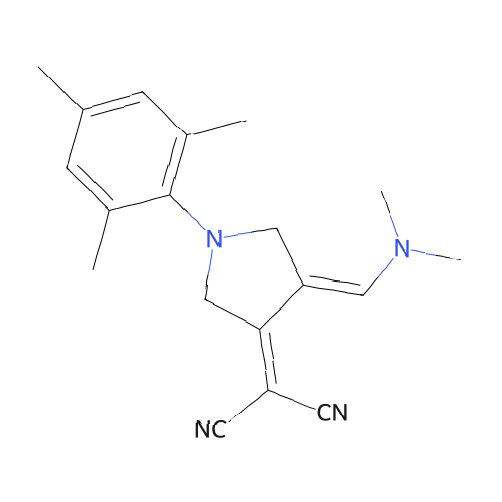 Cc1cc(C)c(N2CC(=CN(C)C)C(=C(C#N)C#N)C2)c(C)c1